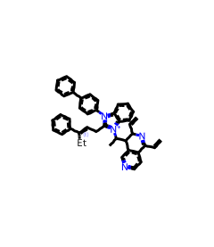 C=CC1=NC(C=C)C(C(C)[n+]2c(C/C=C(\CC)c3ccccc3)n(-c3ccc(-c4ccccc4)cc3)c3ccccc32)c2cnccc21